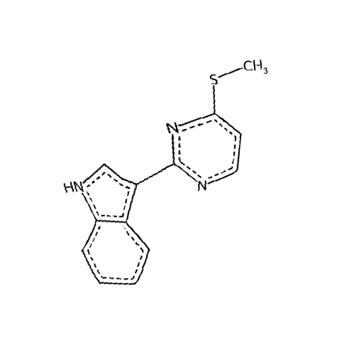 CSc1ccnc(-c2c[nH]c3ccccc23)n1